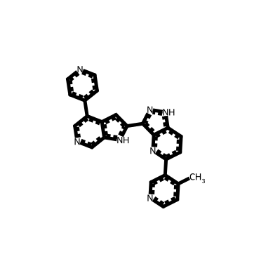 Cc1ccncc1-c1ccc2[nH]nc(-c3cc4c(-c5ccncc5)cncc4[nH]3)c2n1